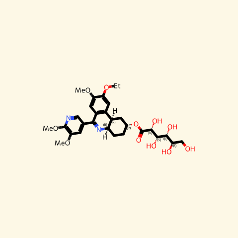 CCOc1cc2c(cc1OC)C(c1cnc(OC)c(OC)c1)=N[C@@H]1CC[C@@H](OC(=O)[C@H](O)[C@@H](O)[C@H](O)[C@H](O)CO)C[C@H]21